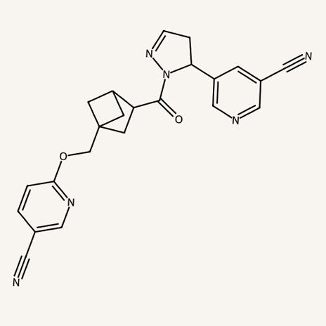 N#Cc1ccc(OCC23CC(C2)C(C(=O)N2N=CCC2c2cncc(C#N)c2)C3)nc1